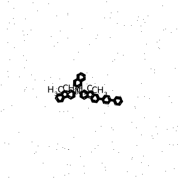 CC1(C)c2ccccc2-c2ccc(N(c3ccc4c(c3)C(C)(C)c3cc(-c5ccc(-c6ccccc6)cc5)ccc3-4)c3ccc4ccccc4c3)cc21